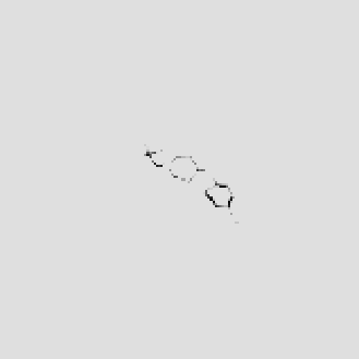 CC(C)(O)C(=O)N1CCC(Oc2ccc(Br)cc2)CC1